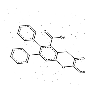 O=C(O)c1c2c(cc(-c3ccccc3)c1-c1ccccc1)Oc1ccccc1C2